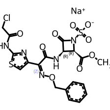 COC(=O)[C@H]1[C@@H](NC(=O)/C(=N\OCc2ccccc2)c2csc(NC(=O)CCl)n2)C(=O)N1S(=O)(=O)[O-].[Na+]